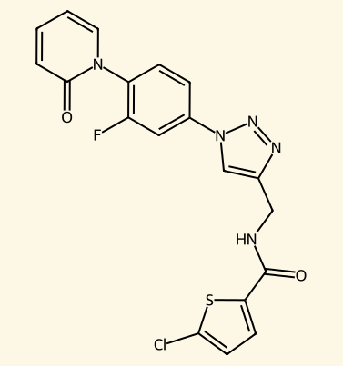 O=C(NCc1cn(-c2ccc(-n3ccccc3=O)c(F)c2)nn1)c1ccc(Cl)s1